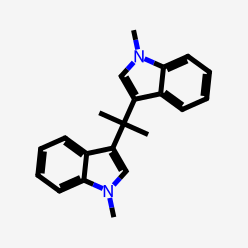 Cn1cc(C(C)(C)c2cn(C)c3ccccc23)c2ccccc21